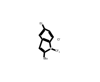 CCc1ccc2c(c1)cc(C(C)(C)C)[s+]2C(F)(F)F.[Cl-]